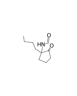 CCCCC1(NC=O)CCCC1=O